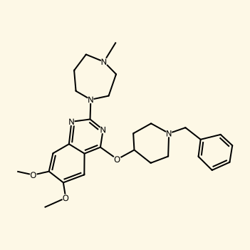 COc1cc2nc(N3CCCN(C)CC3)nc(OC3CCN(Cc4ccccc4)CC3)c2cc1OC